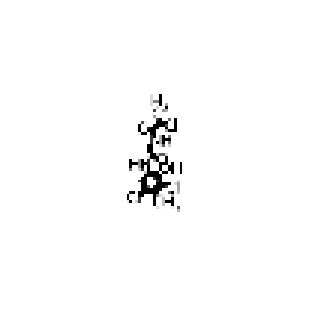 Cc1c(Cl)cc(NC(=O)CNC(=O)C(C)Cl)c(O)c1Cl